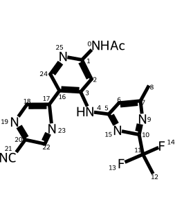 CC(=O)Nc1cc(Nc2cc(C)nc(C(C)(F)F)n2)c(-c2cnc(C#N)cn2)cn1